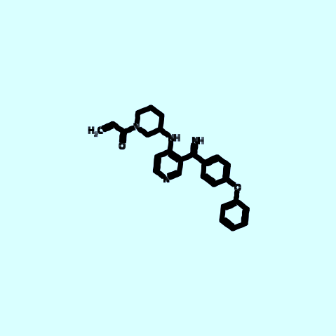 C=CC(=O)N1CCCC(Nc2ccncc2C(=N)c2ccc(Oc3ccccc3)cc2)C1